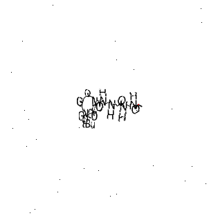 C=CC(=O)NCCNC(=O)CCNCCNC(=O)CN1CCC(=O)CCC(=O)CCN(C(=O)OC(C)(C)C)CCC(=O)CC1